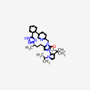 CCCCc1cn(-c2c(C(C)(C)C)ccn2C(C)C)c(=O)n1Cc1ccc(-c2ccccc2-c2nnn[nH]2)cn1